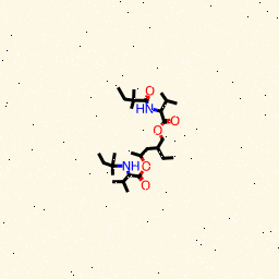 CCC(COC(=O)C(NC(=O)C(C)(C)CC)C(C)C)CC(C)OC(=O)C(NC(C)(C)CC)C(C)C